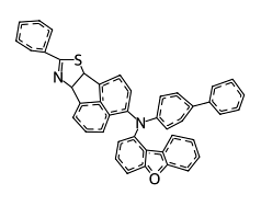 c1ccc(C2=NC3c4cccc5c(N(c6ccc(-c7ccccc7)cc6)c6cccc7oc8ccccc8c67)ccc(c45)C3S2)cc1